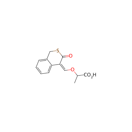 CC(OC=C1C(=O)SCc2ccccc21)C(=O)O